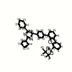 CC1(C)OB(c2cccc3c2oc2c(-c4ccc(-c5nc(-c6ccccc6)nc(-c6ccccc6)n5)cc4)cccc23)OC1(C)C